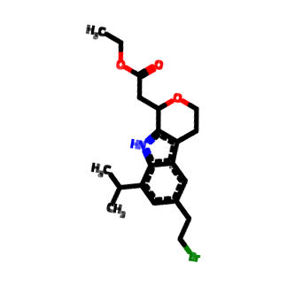 CCOC(=O)CC1OCCc2c1[nH]c1c(C(C)C)cc(CCBr)cc21